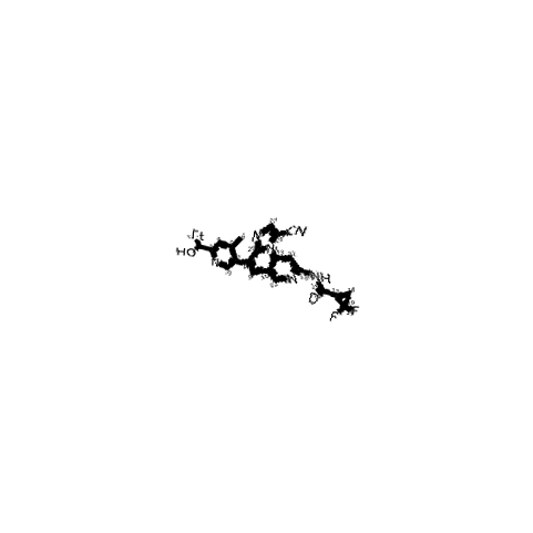 CCC(O)c1cc(C)c(-c2cc3cnc(NC(=O)C4CC4(F)F)cc3n3c(C#N)cnc23)cn1